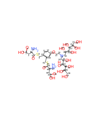 N[C@@H](CC(=O)O)C(=O)SCc1ccc(OCCN(C[C@H](O)[C@@H](O)[C@H](O)[C@H](O)CO)C[C@H](O)[C@@H](O)[C@H](O)[C@H](O)CO)cc1CSC(=O)[C@@H](N)CC(=O)O